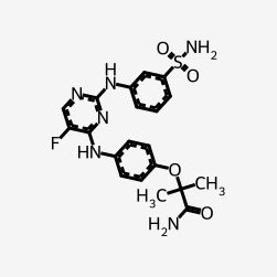 CC(C)(Oc1ccc(Nc2nc(Nc3cccc(S(N)(=O)=O)c3)ncc2F)cc1)C(N)=O